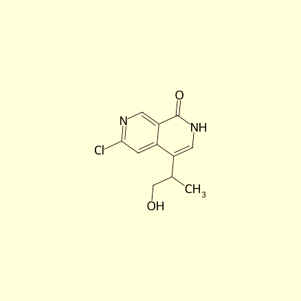 CC(CO)c1c[nH]c(=O)c2cnc(Cl)cc12